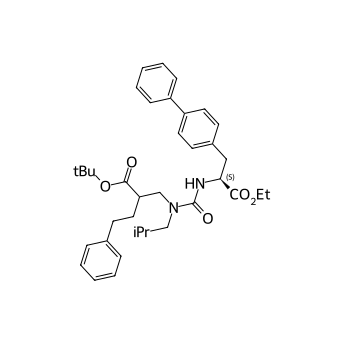 CCOC(=O)[C@H](Cc1ccc(-c2ccccc2)cc1)NC(=O)N(CC(C)C)CC(CCc1ccccc1)C(=O)OC(C)(C)C